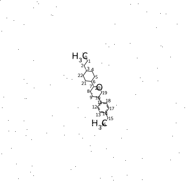 CCCC1CCC(C2CCC(c3ccc(CC)cc3)CO2)CC1